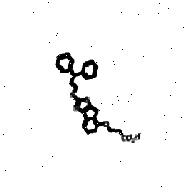 O=C(O)CCOc1cccc2c1Cc1sc(SCCC(c3ccccc3)c3ccccc3)nc1-2